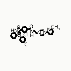 Cc1cccc(N2CCN(CCNC(=O)c3ccc(S(=O)(=O)Nc4ccccc4Oc4ccc(Cl)cc4Cl)cc3)CC2)n1